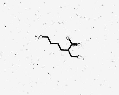 CCCCCC(CC)C(=O)Cl